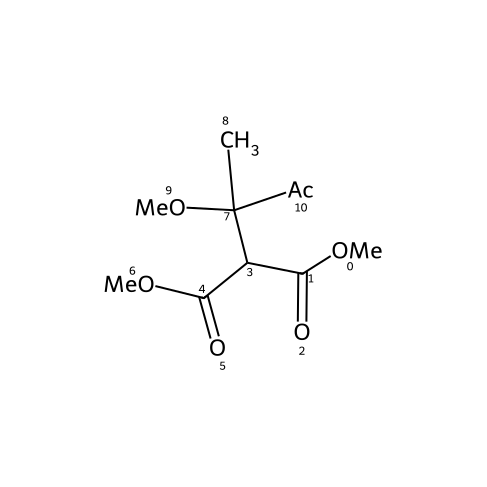 COC(=O)C(C(=O)OC)C(C)(OC)C(C)=O